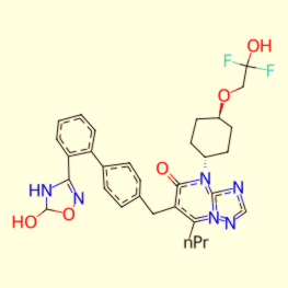 CCCc1c(Cc2ccc(-c3ccccc3C3=NOC(O)N3)cc2)c(=O)n([C@H]2CC[C@H](OCC(O)(F)F)CC2)c2ncnn12